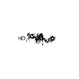 CN(CC(O)CNC(C)(C)CC1Cc2ccccc2C1)S(=O)(=O)c1cc(-c2ccc(F)c(C(=O)O)c2)cc(C(F)(F)F)c1